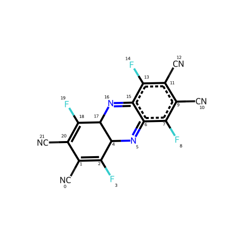 N#CC1=C(F)C2N=c3c(F)c(C#N)c(C#N)c(F)c3=NC2C(F)=C1C#N